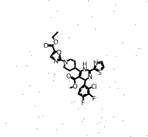 CCOC(=O)c1cnc(N2CCC(C3=C(C(=O)OC)C(c4ccc(F)c(F)c4Cl)N=C(c4nccs4)N3)CC2)o1